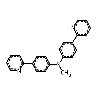 CN(c1ccc(-c2ccccn2)cc1)c1ccc(-c2ccccn2)cc1